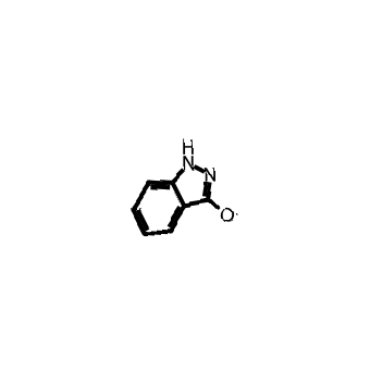 [O]c1n[nH]c2ccccc12